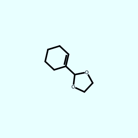 C1=C(C2OCCO2)CCCC1